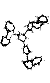 C1=CC2c3ccccc3N(c3nc(-c4ccc(-c5cccc6ccccc56)cc4)nc(-c4ccc5c(c4)sc4ccccc45)n3)C2C=C1